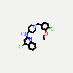 CCOc1cc(CN2CCC(Nc3cc(Cl)c4ccccc4n3)CC2)ccc1Cl